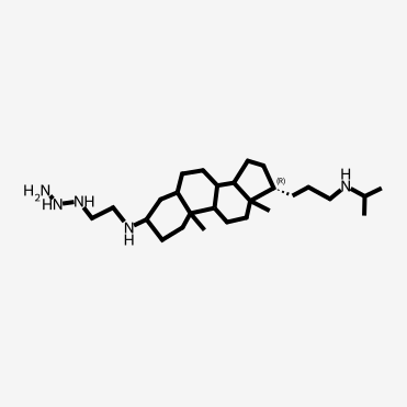 CC(C)NCCC[C@H]1CCC2C3CCC4CC(NCCNNN)CCC4(C)C3CCC21C